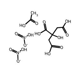 CC(=O)O.O=C(O)CC(O)(CC(=O)O)C(=O)O.O=[N+]([O-])O.O=[N+]([O-])O